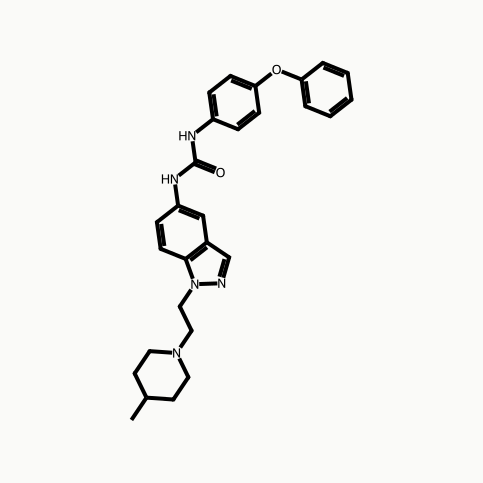 CC1CCN(CCn2ncc3cc(NC(=O)Nc4ccc(Oc5ccccc5)cc4)ccc32)CC1